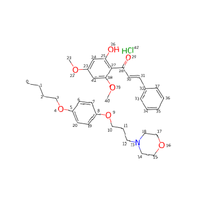 CCCCOc1ccc(OCCCN2CCOCC2)cc1.COc1cc(O)c(C(=O)C=Cc2ccccc2)c(OC)c1.Cl